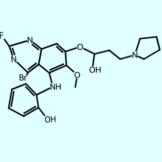 COc1c(OC(O)CCN2CCCC2)cc2nc(F)nc(Br)c2c1Nc1ccccc1O